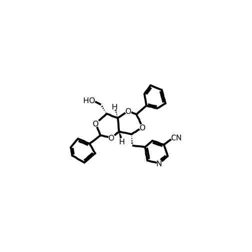 N#Cc1cncc(C[C@H]2OC(c3ccccc3)O[C@H]3[C@H]2OC(c2ccccc2)O[C@@H]3CO)c1